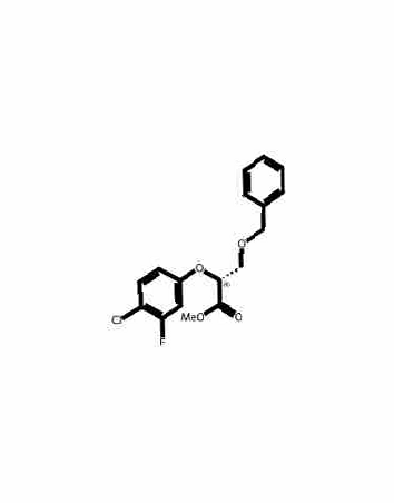 COC(=O)[C@@H](COCc1ccccc1)Oc1ccc(Cl)c(F)c1